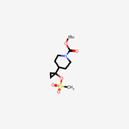 CC(C)(C)OC(=O)N1CCC(C2(OS(C)(=O)=O)CC2)CC1